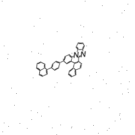 c1ccc2c(-c3ccc(-c4ccc5c(c4)c4c6ccccc6ccc4c4nc6ccccc6n54)cc3)cccc2c1